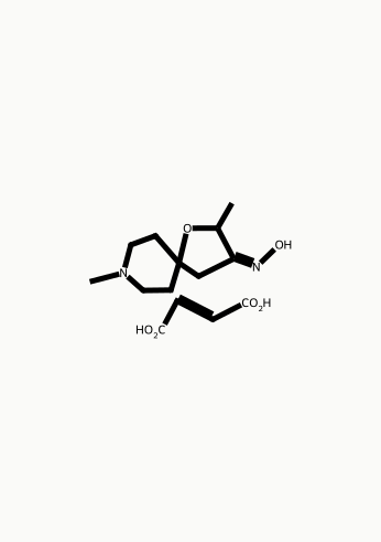 CC1OC2(CCN(C)CC2)C/C1=N/O.O=C(O)/C=C/C(=O)O